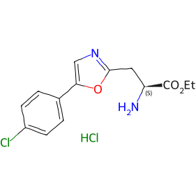 CCOC(=O)[C@@H](N)Cc1ncc(-c2ccc(Cl)cc2)o1.Cl